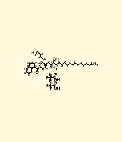 CCCCCCCCCCCCCCC(O)[C@H](N)CN1CCN(C(=O)c2cccc3ccccc23)C[C@@H]1CCCC.O=C(O)C(F)(F)F.O=C(O)C(F)(F)F